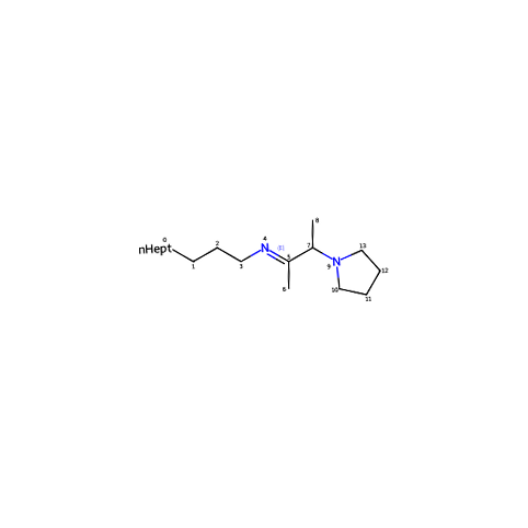 CCCCCCCCCC/N=C(\C)C(C)N1CCCC1